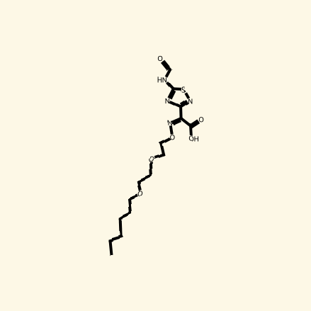 CCCCCCOCCOCCO/N=C(\C(=O)O)c1nsc(NC=O)n1